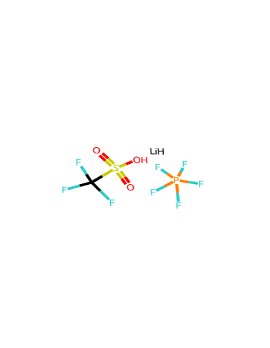 FP(F)(F)(F)F.O=S(=O)(O)C(F)(F)F.[LiH]